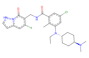 CCN(c1cc(Cl)cc(C(=O)NCc2c(F)cc3cc[nH]n3c2=O)c1C)[C@H]1CC[C@H](N(C)C)CC1